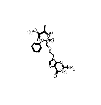 CCCCOC(=O)C(C)NP(=O)(COCCn1cnc2c(=O)[nH]c(N)nc21)Oc1ccccc1